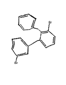 Brc1cccc(-c2cccc(Br)c2-c2ccccc2)c1